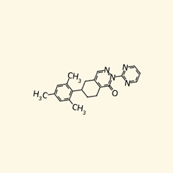 Cc1cc(C)c(C2CCc3c(cnn(-c4ncccn4)c3=O)C2)c(C)c1